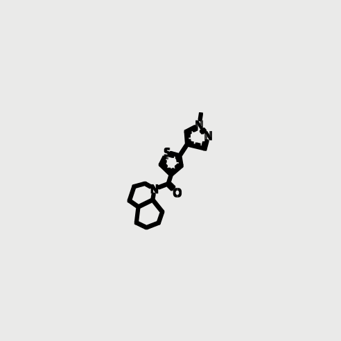 Cn1cc(-c2cc(C(=O)N3CCCC4CCCCC43)cs2)cn1